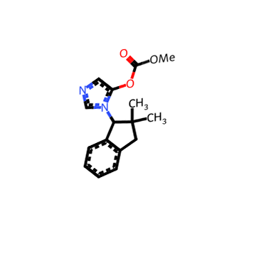 COC(=O)Oc1cncn1C1c2ccccc2CC1(C)C